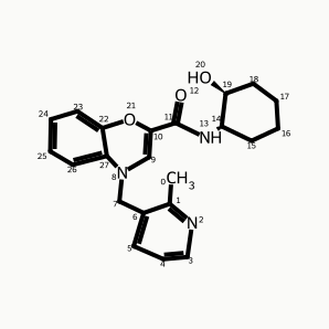 Cc1ncccc1CN1C=C(C(=O)N[C@H]2CCCC[C@@H]2O)Oc2ccccc21